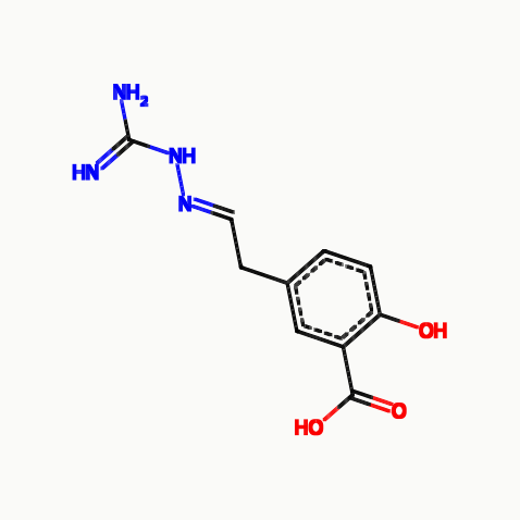 N=C(N)NN=CCc1ccc(O)c(C(=O)O)c1